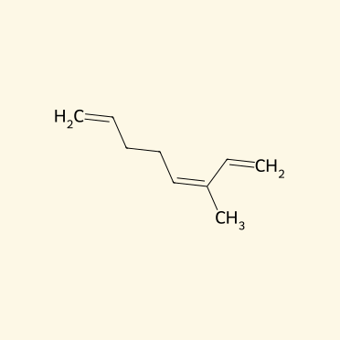 C=CCCC=C(C)C=C